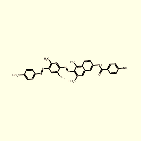 Cc1cc(N=Nc2c(S(=O)(=O)O)cc3cc(NC(=O)c4ccc(N)cc4)ccc3c2O)c(C)cc1N=Nc1ccc(S(=O)(=O)O)cc1